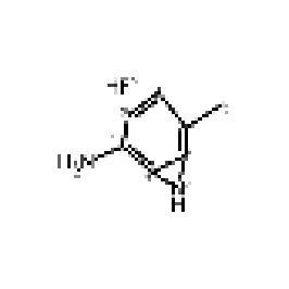 Cc1ccc(N)c2c1N2.F